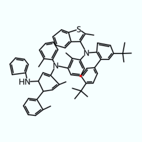 CC1=CC(c2ccccc2C)C(Nc2ccccc2)C=C1N(c1ccccc1C)c1cccc(N(c2ccc(C(C)(C)C)cc2-c2ccc(C(C)(C)C)cc2)c2c(C)sc3ccccc23)c1C